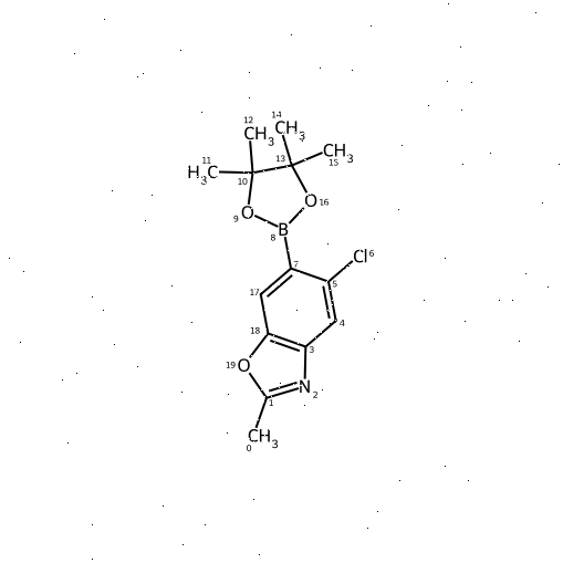 Cc1nc2cc(Cl)c(B3OC(C)(C)C(C)(C)O3)cc2o1